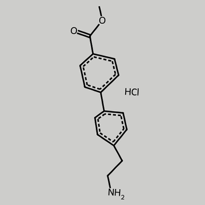 COC(=O)c1ccc(-c2ccc(CCN)cc2)cc1.Cl